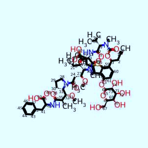 C#CCC(OC(=O)N(C)[C@H](C(=O)N[C@H](C(=O)N(C)[C@@H](C(C)CC)[C@@H](CC(=O)N1CCC[C@H]1[C@H](OC)[C@@H](C)C(=O)NC(Cc1ccccc1)C(=O)O)OC)C(C)C)C(C)C)c1ccc(O[C@@H]2O[C@H](CO)[C@H](O)[C@H](O)[C@H]2O)c2cc(CCC(=O)O)sc12